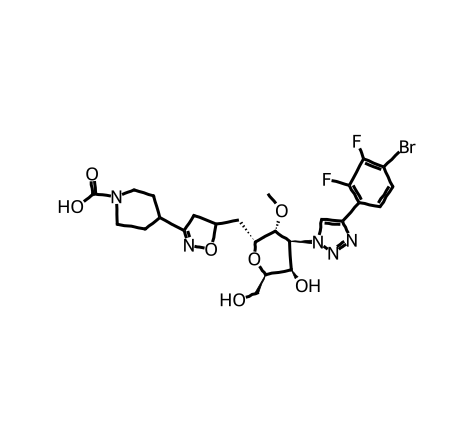 CO[C@@H]1[C@@H](n2cc(-c3ccc(Br)c(F)c3F)nn2)[C@@H](O)[C@@H](CO)O[C@@H]1CC1CC(C2CCN(C(=O)O)CC2)=NO1